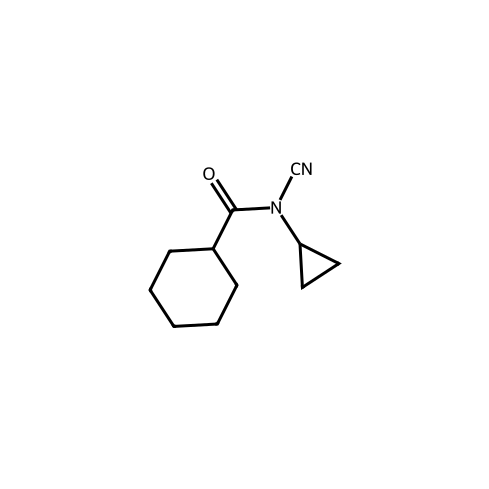 N#CN(C(=O)C1CCCCC1)C1CC1